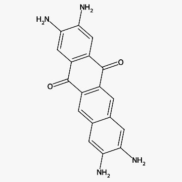 Nc1cc2c(cc1N)C(=O)c1cc3cc(N)c(N)cc3cc1C2=O